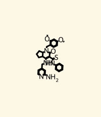 COc1ccc(CN2C(=O)C(C(=S)Nc3ccccc3)=C(NCc3ccnc(N)c3)C3CCCC32)c(OC)c1